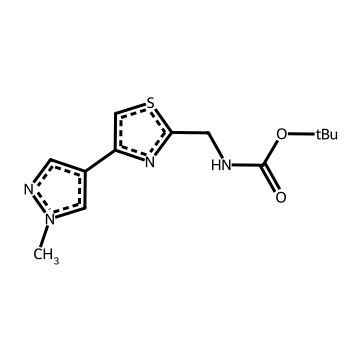 Cn1cc(-c2csc(CNC(=O)OC(C)(C)C)n2)cn1